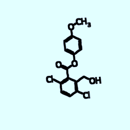 COc1ccc(OC(=O)c2c(Cl)ccc(Cl)c2CO)cc1